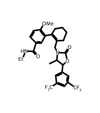 CCNC(=O)c1ccc(OC)c(C2=C(CN3C(=O)OC(c4cc(C(F)(F)F)cc(C(F)(F)F)c4)C3C)CCCC2)c1